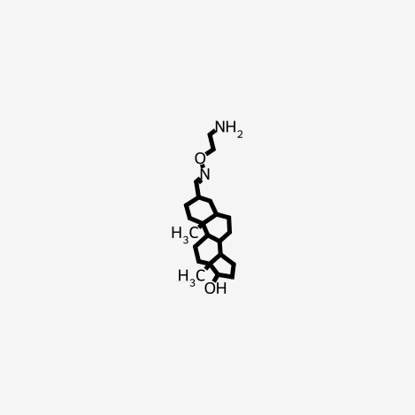 CC12CCC3C(CCC4CC(C=NOCCN)CCC43C)C1CCC2O